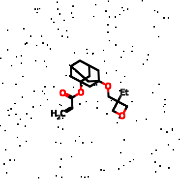 C=CC(=O)OC12CC3CC(CC(OCC4(CC)COC4)(C3)C1)C2